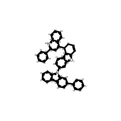 C1=Cc2oc3cc(-n4c5ccccc5c5ccc(-c6ccccc6)cc54)ccc3c2C(c2cc(-c3ccccc3)nc3ccccc23)C1